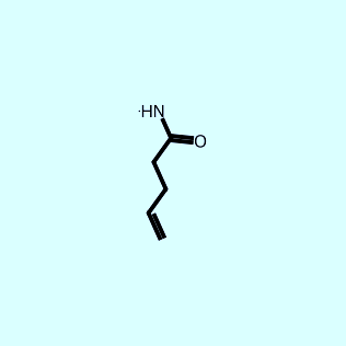 C=CCCC([NH])=O